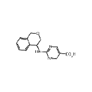 O=C(O)c1cnc(NC2COCc3ccccc32)nc1